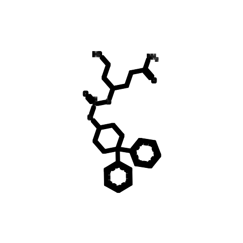 NC(=O)CCC(CCO)O[PH](=O)OC1CCC(c2ccccc2)(c2ccccc2)CC1